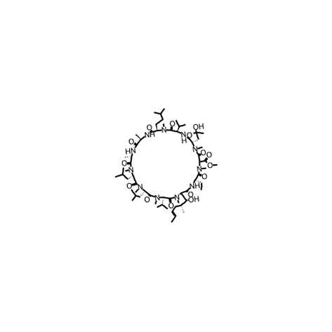 C/C=C/C[C@@H](C)[C@@H](O)[C@H]1C(=O)N[C@@H](CC)C(=O)N(C)C(C(=O)OC)C(=O)N(C)[C@@H](CC(C)(C)O)C(=O)N[C@H](C(C)C)C(=O)N(C)[C@H](CCC(C)C)C(=O)N[C@H](C)C(=O)N[C@@H](C)C(=O)N(C)[C@@H](CC(C)C)C(=O)N(C)[C@@H](CC(C)C)C(=O)N(C)[C@@H](C(C)C)C(=O)N1C